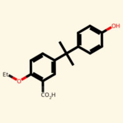 CCOc1ccc(C(C)(C)c2ccc(O)cc2)cc1C(=O)O